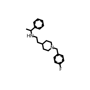 CC(NCCC1CCN(Cc2ccc(F)cc2)CC1)c1ccccc1